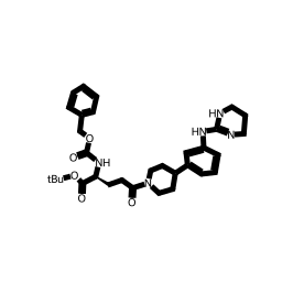 CC(C)(C)OC(=O)[C@H](CCC(=O)N1CCC(c2cccc(NC3=NCCCN3)c2)CC1)NC(=O)OCc1ccccc1